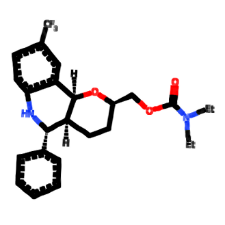 CCN(CC)C(=O)OC[C@H]1CC[C@@H]2[C@H](O1)c1cc(C(F)(F)F)ccc1N[C@H]2c1ccccc1